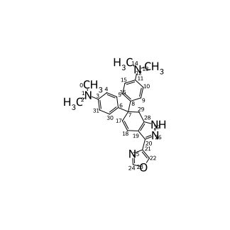 CN(C)c1ccc(C2(c3ccc(N(C)C)cc3)C=Cc3c(-c4cocn4)n[nH]c3C2)cc1